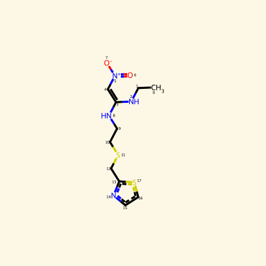 CCNC(=C[N+](=O)[O-])NCCSCc1nccs1